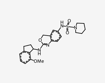 COc1cccc2c1C(NC1=Nc3ccc(NS(=O)(=O)N4CCCCC4)cc3CO1)CC2